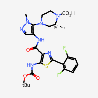 C[C@@H]1CN(c2c(NC(=O)c3nc(-c4c(F)cccc4F)sc3NC(=O)OC(C)(C)C)cnn2C)CCN1C(=O)O